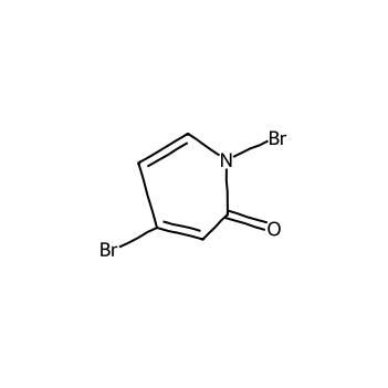 O=c1cc(Br)ccn1Br